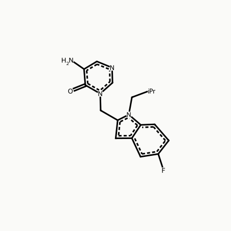 CC(C)Cn1c(Cn2cncc(N)c2=O)cc2cc(F)ccc21